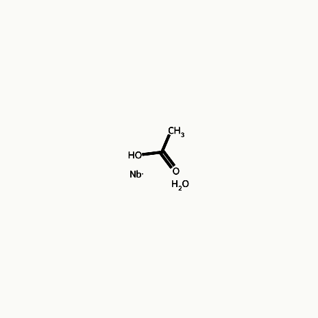 CC(=O)O.O.[Nb]